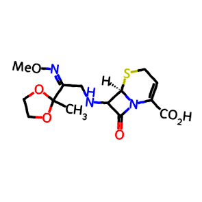 CO/N=C(/CNC1C(=O)N2C(C(=O)O)=CCS[C@H]12)C1(C)OCCO1